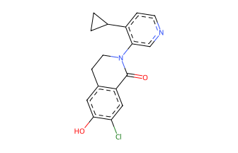 O=C1c2cc(Cl)c(O)cc2CCN1c1cnccc1C1CC1